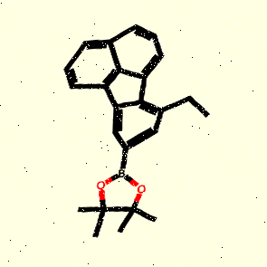 CCc1cc(B2OC(C)(C)C(C)(C)O2)cc2c1-c1cccc3cccc-2c13